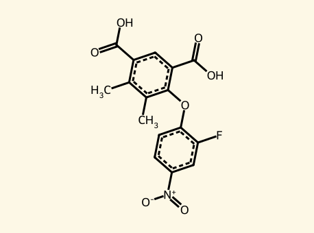 Cc1c(C(=O)O)cc(C(=O)O)c(Oc2ccc([N+](=O)[O-])cc2F)c1C